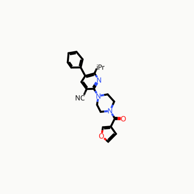 CC(C)c1nc(N2CCN(C(=O)c3ccoc3)CC2)c(C#N)cc1-c1ccccc1